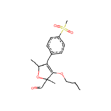 CCCOC1=C(c2ccc(S(C)(=O)=O)cc2)C(C)OC1(C)C=O